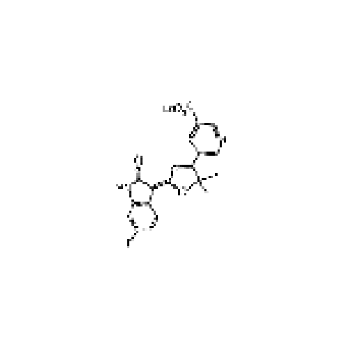 CCOC(=O)c1cncc(C2=C/C(=C3\C(=O)Nc4cc(F)ccc43)OC2(C)C)c1